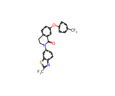 O=C1c2cc(Oc3ccc(C(F)(F)F)cc3)ccc2CCN1c1ccc2nc(C(F)(F)F)sc2c1